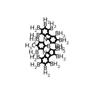 BC1=C(B)C2B3c4c(c(B)c(C)c(B)c4-n4c5c(B)c(B)c(B)c(B)c5c5c(B)c(B)c(B)c3c54)-n3c2c1c1c(B)c(B)c(B)c(B)c13